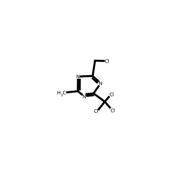 Cc1nc(CCl)nc(C(Cl)(Cl)Cl)n1